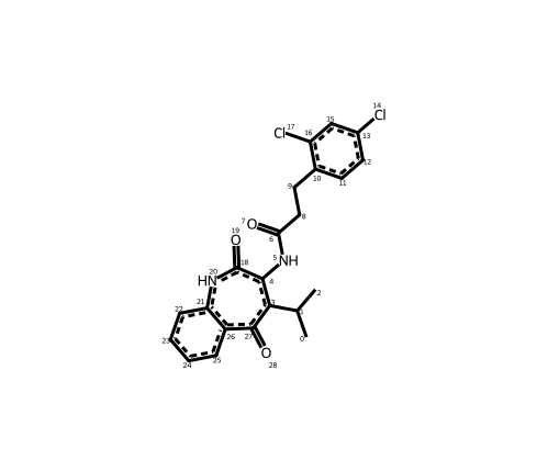 CC(C)c1c(NC(=O)CCc2ccc(Cl)cc2Cl)c(=O)[nH]c2ccccc2c1=O